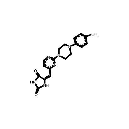 Cc1ccc(N2CCN(c3nccc(C=C4NC(=O)NC4=O)n3)CC2)cc1